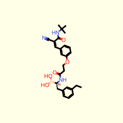 CCc1cccc(C[C@H](NC(=O)CCOc2cccc(C=C(C#N)C(=O)NC(C)(C)C)c2)B(O)O)c1